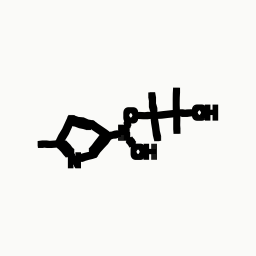 Cc1ccc(B(O)OC(C)(C)C(C)(C)O)cn1